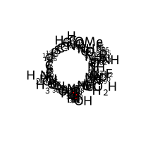 CO[C@@H](C)[C@@H]1NC(=O)CCSCc2cccc(c2)CSC[C@@H](C(N)=O)NC(=O)[C@]2(C)CCCN2C(=O)[C@H](Cc2ccc(O)cc2)NC(=O)[C@H](Cc2cnc[nH]2)NC(=O)[C@H](CC(=O)O)NC(=O)[C@H](Cc2c[nH]c3ccc(F)cc23)NC(=O)[C@H](CCc2c[nH]c3ccc(F)cc23)NC(=O)CNC1=O